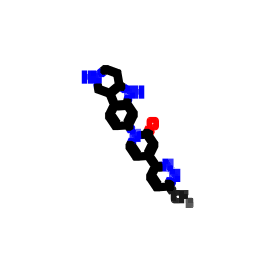 O=c1cc(-c2ccc(C(F)(F)F)nn2)ccn1-c1ccc2c(c1)NC1CCNCC21